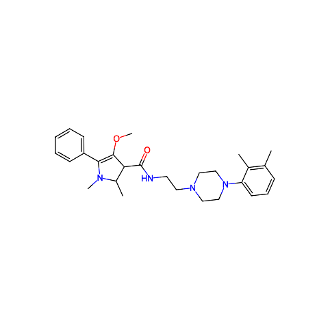 COC1=C(c2ccccc2)N(C)C(C)C1C(=O)NCCN1CCN(c2cccc(C)c2C)CC1